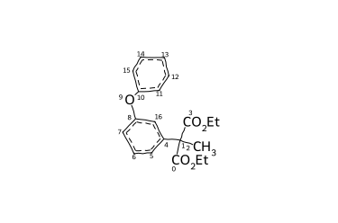 CCOC(=O)C(C)(C(=O)OCC)c1cccc(Oc2ccccc2)c1